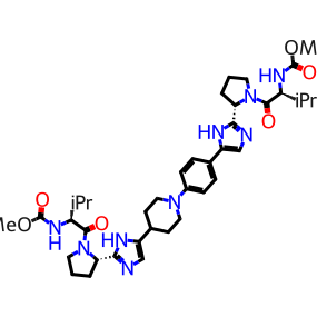 COC(=O)N[C@H](C(=O)N1CCC[C@H]1c1ncc(-c2ccc(N3CCC(c4cnc([C@@H]5CCCN5C(=O)[C@@H](NC(=O)OC)C(C)C)[nH]4)CC3)cc2)[nH]1)C(C)C